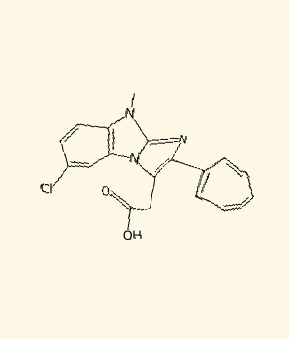 Cn1c2ccc(Cl)cc2n2c(CC(=O)O)c(-c3ccccc3)nc12